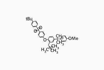 COc1ccc(C(C)(C)c2ccc(Oc3ccc(S(=O)(=O)c4ccc(C(C)(C)C)cc4)cc3)c(C[N+](C)(C)C)c2)cc1